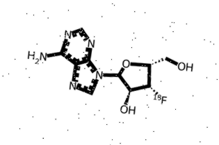 Nc1ncnc2c1ncn2C1O[C@H](CO)[C@H]([18F])[C@H]1O